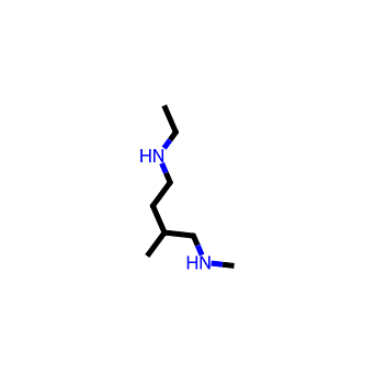 CCNCCC(C)CNC